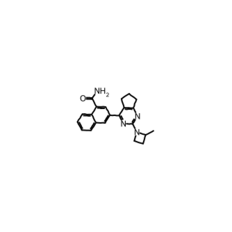 CC1CCN1c1nc2c(c(-c3cc(C(N)=O)c4ccccc4c3)n1)CCC2